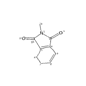 [CH2]N1C(=O)C2=C(CCC=C2)C1=O